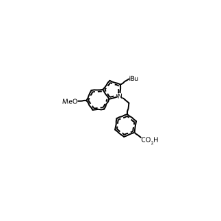 CCC(C)c1cc2cc(OC)ccc2n1Cc1cccc(C(=O)O)c1